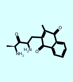 CC1=C(CC(N)C(=O)[C@H](C)N)C(=O)c2ccccc2C1=O